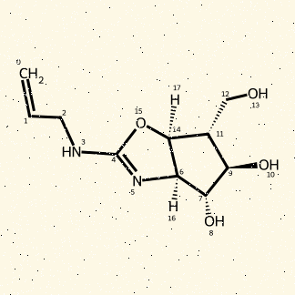 C=CCNC1=N[C@@H]2[C@@H](O)[C@H](O)[C@@H](CO)[C@@H]2O1